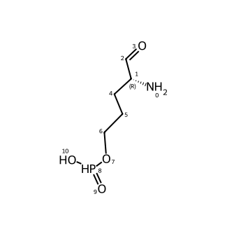 N[C@@H](C=O)CCCO[PH](=O)O